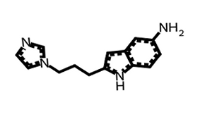 Nc1ccc2[nH]c(CCCn3ccnc3)cc2c1